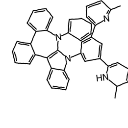 Cc1cccc(-c2cc(C3=CC=CC(C)N3)cc(-n3c4c(c5ccccc53)-c3ccccc3-c3ccccc3N4C3=CCCC=C3)c2)n1